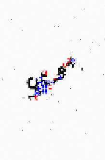 CCC(=O)N1CCN(C2NC(C(=O)NC[C@H](O)CN3CCc4cc(OCc5ocnc5C)ccc4C3)CC(NC3COC3)N2C2CCCCCCCCC2)CC1